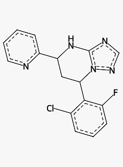 Fc1cccc(Cl)c1C1CC(c2ccccn2)Nc2ncnn21